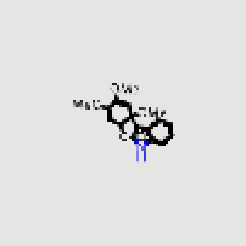 COC1=CC(C=O)C(OC)(c2c[nH]c3ccccc23)C=C1OC